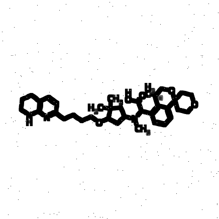 C[C@@H]1COC2(CCOCC2)c2cccc(C(C(=O)O)N(C)C3CC(OCCCCc4ccc5c(n4)NCCC5)C(C)(C)C3)c21